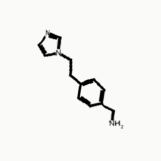 NCc1ccc(CCn2ccnc2)cc1